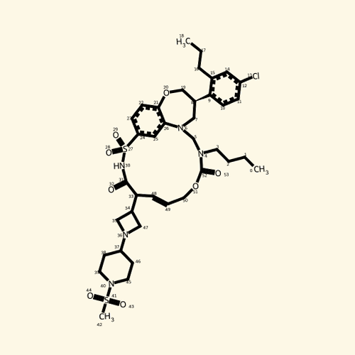 CCCCN1CN2C[C@H](c3ccc(Cl)cc3CCC)COc3ccc(cc32)S(=O)(=O)NC(=O)C(C2CN(C3CCN(S(C)(=O)=O)CC3)C2)/C=C/COC1=O